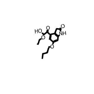 CCCCOc1cc2c(c(C(=O)C(O)OCC)c1)CC(=O)N2